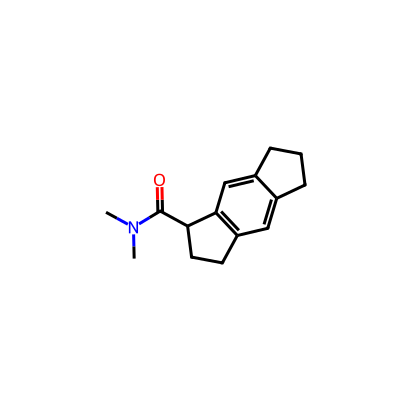 CN(C)C(=O)C1CCc2cc3c(cc21)CCC3